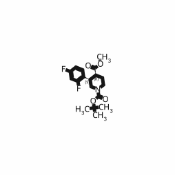 COC(=O)[C@@H]1CCN(C(=O)OC(C)(C)C)C[C@@H]1c1ccc(F)cc1F